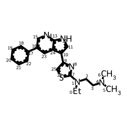 CCN(CCN(C)C)c1nc(-c2c[nH]c3ncc(-c4ccccc4)cc23)cs1